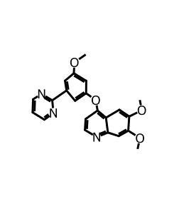 COc1cc(Oc2ccnc3cc(OC)c(OC)cc23)cc(-c2ncccn2)c1